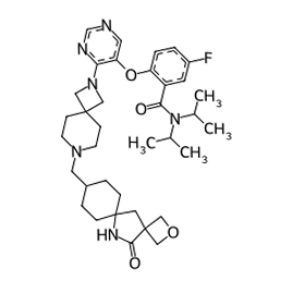 CC(C)N(C(=O)c1cc(F)ccc1Oc1cncnc1N1CC2(CCN(CC3CCC4(CC3)CC3(COC3)C(=O)N4)CC2)C1)C(C)C